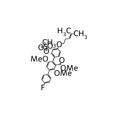 COC(=O)c1c(OC)c(-c2ccc(F)cc2)cc(OC)c1-c1ccc(OCCC=C(C)C)c(OS(C)(=O)=O)c1